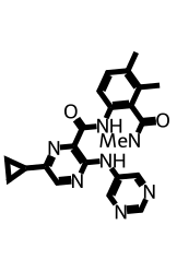 CNC(=O)c1c(NC(=O)c2nc(C3CC3)cnc2Nc2cncnc2)ccc(C)c1C